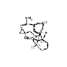 COC1(c2cccc(C(N)=O)c2)[C@@H]2CCC[C@H]1CN(CC1(O)CC1)C2.Cl